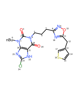 CCCCn1c(=O)n(CCCc2noc(Cc3ccsc3)n2)c(=O)c2[nH]c(Cl)nc21